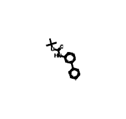 CC(C)(C)OC(=O)Nc1cccc(-c2cc[c]cc2)c1